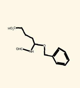 O=CNC(CCCC(=O)O)OCc1ccccc1